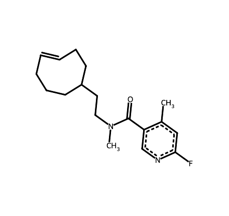 Cc1cc(F)ncc1C(=O)N(C)CCC1CC/C=C/CCC1